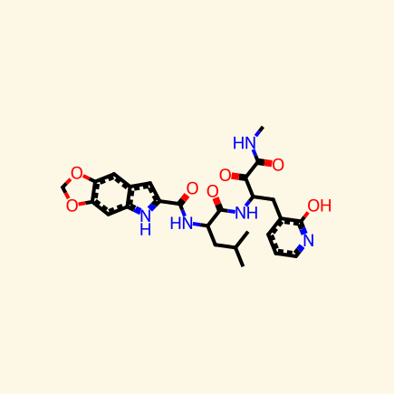 CNC(=O)C(=O)C(Cc1cccnc1O)NC(=O)C(CC(C)C)NC(=O)c1cc2cc3c(cc2[nH]1)OCO3